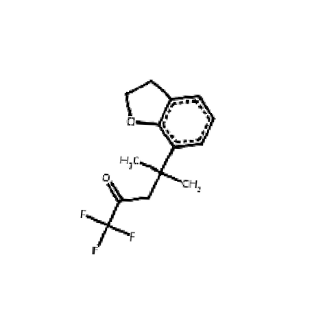 CC(C)(CC(=O)C(F)(F)F)c1cccc2c1OCC2